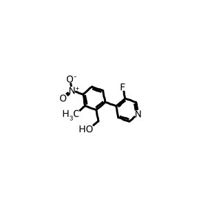 Cc1c([N+](=O)[O-])ccc(-c2ccncc2F)c1CO